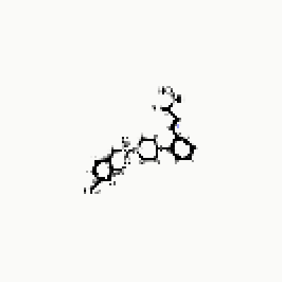 O=C(/C=C/c1ccccc1N1CCN(S(=O)(=O)Cc2ccc(Cl)cc2F)CC1)NO